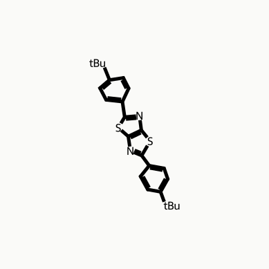 CC(C)(C)c1ccc(-c2nc3sc(-c4ccc(C(C)(C)C)cc4)nc3s2)cc1